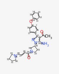 CC(=O)c1c(-c2ccc(Oc3ccccc3)cc2)nn([C@@H]2CCN(C(=O)/C=C/CN3CCCC3)C2)c1N